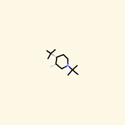 CC(C)(C)[C@@H]1CCN(C(C)(C)C)C[C@@H]1F